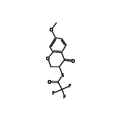 COc1ccc2c(c1)OCC(SC(=O)C(F)(F)F)C2=O